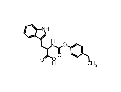 CCc1ccc(OC(=O)NC(Cc2c[nH]c3ccccc23)C(=O)O)cc1